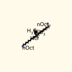 CCCCCCCC/C=C\CCCCCCCCCC(CCCCCCCC/C=C\CCCCCCCC)CN(C)C.Cl